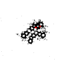 Cc1cc2c(cc1N1c3ccc4c(c3B3c5c(cc6c(oc7ccccc76)c51)-c1cc5c(cc1N3c1ccc3c(c1)C(C)(C)CCC3(C)C)C(C)(C)CCC5(C)C)-c1ccccc1C4(C)C)C(C)(C)CCC2(C)C